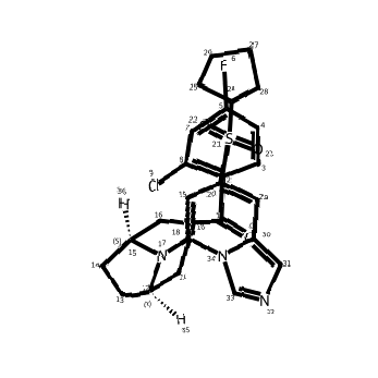 O=C(c1ccc(F)cc1Cl)N1C[C@H]2CC[C@@H](C1)N2c1cc(S(=O)(=O)C2CCCC2)cc2cncn12